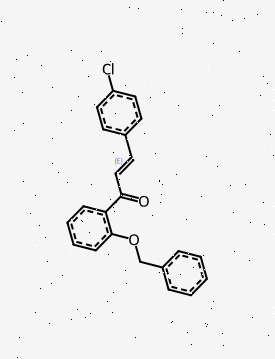 O=C(/C=C/c1ccc(Cl)cc1)c1ccccc1OCc1ccccc1